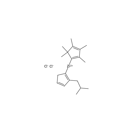 CC1=C(C)C(C)(C)[C]([Zr+2][C]2=C(CC(C)C)C=CC2)=C1C.[Cl-].[Cl-]